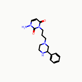 Nn1ccc(=O)n(CCCN2CCNC(c3ccccc3)C2)c1=O